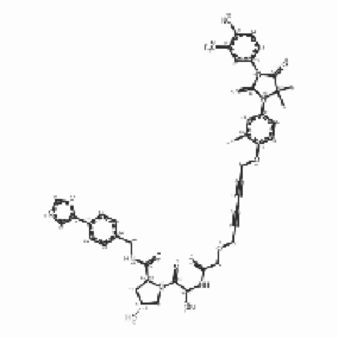 CC(C)(C)[C@H](NC(=O)COCC#CC#CCOc1ccc(N2C(=S)N(c3ccc(C#N)c(C(F)(F)F)c3)C(=O)C2(C)C)cc1F)C(=O)N1C[C@H](O)C[C@H]1C(=O)NCc1ccc(-c2cnco2)cc1